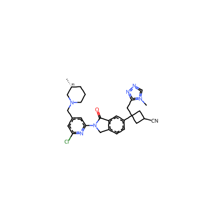 C[C@@H]1CCCN(Cc2cc(Cl)nc(N3Cc4ccc(C5(Cc6nncn6C)CC(C#N)C5)cc4C3=O)c2)C1